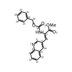 COC(=O)/C(=C/c1cnc2ccccc2c1)NC(=O)OCc1ccccc1